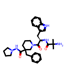 CC(C)(N)C(=O)N[C@H](Cc1c[nH]c2ccccc12)C(=O)N1CCCC(Cc2ccccc2)(C(=O)NN2CCCC2)C1